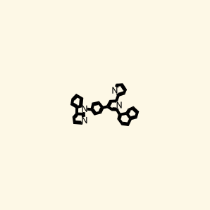 c1ccc(-c2cc(-c3ccc(-n4c5ccccc5c5cccnc54)cc3)cc(-c3cccc4ccccc34)n2)nc1